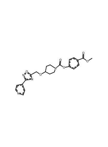 COC(=O)c1ccc(OC(=O)N2CCC(OCc3nc(-c4ccncc4)no3)CC2)cc1